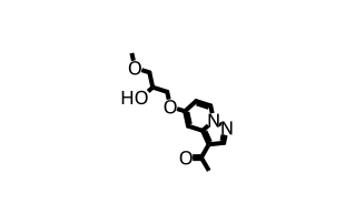 COCC(O)COc1ccn2ncc(C(C)=O)c2c1